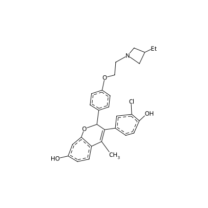 CCC1CN(CCOc2ccc(C3Oc4cc(O)ccc4C(C)=C3c3ccc(O)c(Cl)c3)cc2)C1